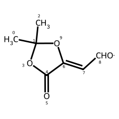 CC1(C)OC(=O)C(=C[C]=O)O1